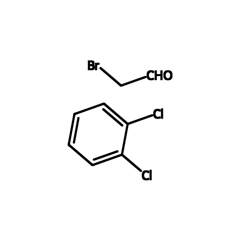 Clc1ccccc1Cl.O=CCBr